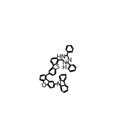 c1ccc(C2=NC(c3ccccc3)NC(c3cccc4c3sc3ccc(-c5cccc6oc7ccc(-n8c9ccccc9c9ccccc98)cc7c56)cc34)N2)cc1